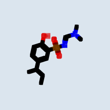 CCC(C)c1ccc(O)c(S(=O)(=O)N=CN(C)C)c1